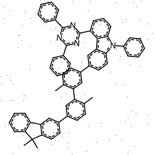 Cc1ccc(-c2ccc3c(c2)-c2ccccc2C3(C)C)cc1-c1cc(-c2ccc3c(c2)c2c(-c4nc(-c5ccccc5)nc(-c5ccccc5)n4)cccc2n3-c2ccccc2)ccc1C